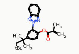 C=C(C)C(=O)Oc1ccc(C(C)(C)CC(C)(C)C)cc1-n1nc2ccccc2n1